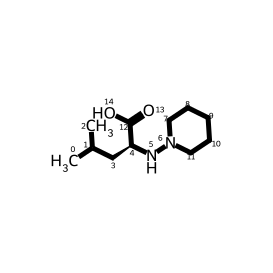 CC(C)C[C@H](NN1CCCCC1)C(=O)O